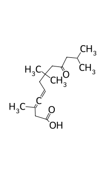 CC(=C=CCC(C)(C)CC(=O)CC(C)C)CC(=O)O